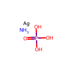 N.O=P(O)(O)O.[Ag]